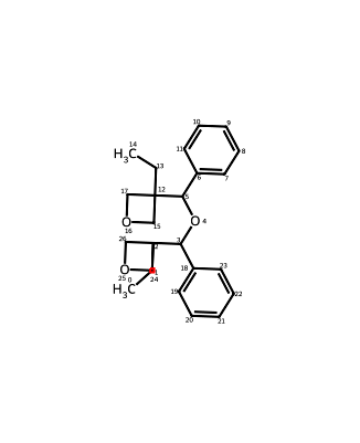 CCC1(C(OC(c2ccccc2)C2(CC)COC2)c2ccccc2)COC1